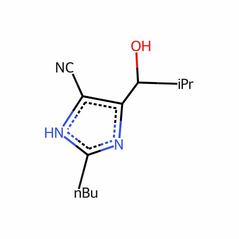 CCCCc1nc(C(O)C(C)C)c(C#N)[nH]1